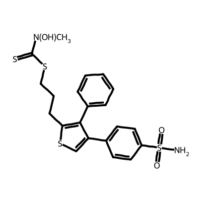 CN(O)C(=S)SCCCc1scc(-c2ccc(S(N)(=O)=O)cc2)c1-c1ccccc1